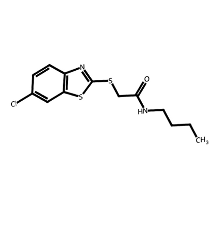 CCCCNC(=O)CSc1nc2ccc(Cl)cc2s1